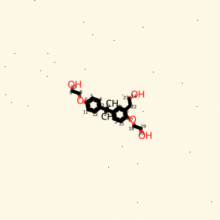 CC(C)(c1ccc(OCCO)cc1)c1ccc(OCCO)c(CCO)c1